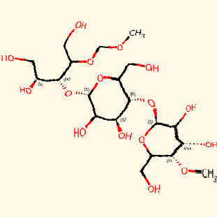 COCOC(CO)[C@H](O[C@@H]1OC(CO)[C@H](O[C@@H]2OC(CO)[C@@H](OC)[C@@H](O)C2O)[C@@H](O)C1O)[C@@H](O)CO